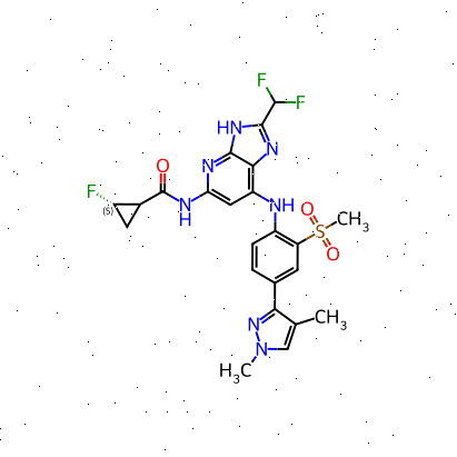 Cc1cn(C)nc1-c1ccc(Nc2cc(NC(=O)C3C[C@@H]3F)nc3[nH]c(C(F)F)nc23)c(S(C)(=O)=O)c1